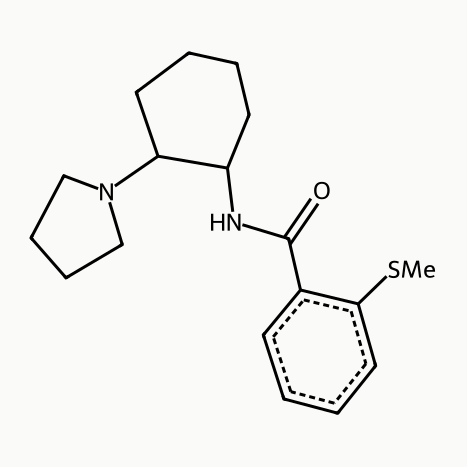 CSc1ccccc1C(=O)NC1CCCCC1N1CCCC1